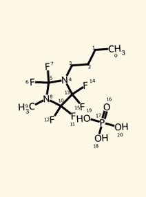 CCCCN1C(F)(F)N(C)C(F)(F)C1(F)F.O=P(O)(O)O